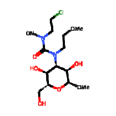 COCCN(C(=O)N(CCCl)N=O)[C@H]1[C@@H](O)[C@@H](OC)O[C@H](CO)[C@H]1O